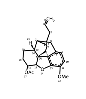 C=CCN1CC[C@@]23c4c5ccc(OC)c4OC2C(OC(C)=O)CC[C@@H]3C1C5